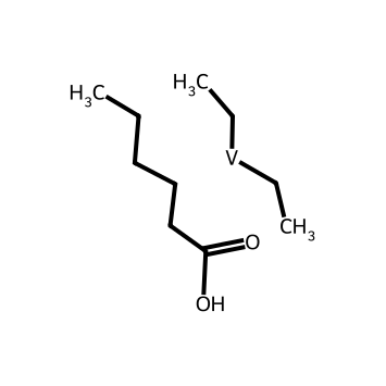 CCCCCC(=O)O.C[CH2][V][CH2]C